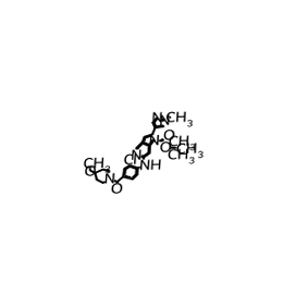 COC1CCN(C(=O)c2ccc(Nc3cc4c(cn3)cc(-c3cnn(C)c3)n4C(=O)OC(C)(C)C)c(Cl)c2)CC1